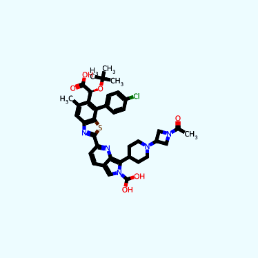 CC(=O)N1CC(N2CCC(c3c4nc(-c5nc6cc(C)c([C@H](OC(C)(C)C)C(=O)O)c(-c7ccc(Cl)cc7)c6s5)ccc4cn3C(O)O)CC2)C1